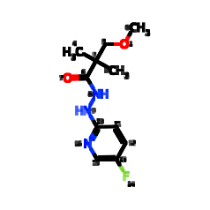 COCC(C)(C)C(=O)NNc1ccc(F)cn1